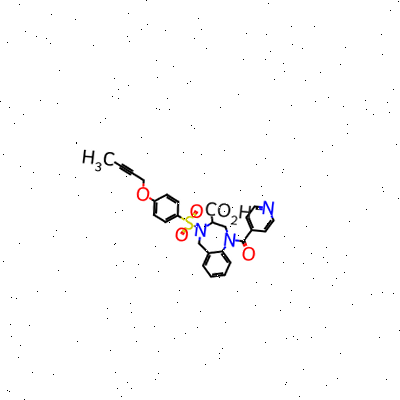 CC#CCOc1ccc(S(=O)(=O)N2Cc3ccccc3N(C(=O)c3ccncc3)CC2C(=O)O)cc1